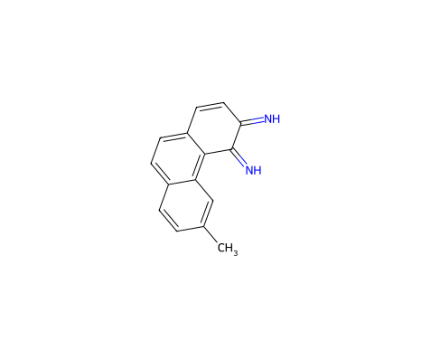 Cc1ccc2ccc3c(c2c1)C(=N)C(=N)C=C3